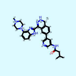 CC(C)CC(=O)Nc1cncc(-c2ccc3c(c2)C(c2nc4c(N5CCN(C)CC5)cccc4[nH]2)=NN[C@@H]3C)c1